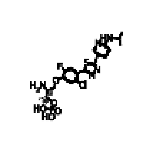 CC(C)Nc1ccc(-c2nnc(-c3cc(F)c(OC[C@H](N)[C@@H](C)OP(=O)(O)O)cc3Cl)s2)cn1